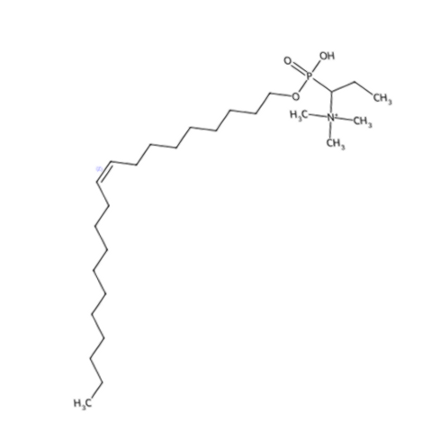 CCCCCCCCCC/C=C\CCCCCCCCOP(=O)(O)C(CC)[N+](C)(C)C